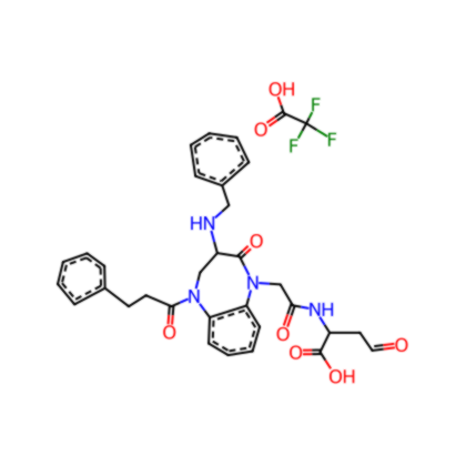 O=C(O)C(F)(F)F.O=CCC(NC(=O)CN1C(=O)C(NCc2ccccc2)CN(C(=O)CCc2ccccc2)c2ccccc21)C(=O)O